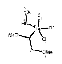 COC[CH](OC)[Ta]([Cl])([Cl])([Cl])[NH]C(C)(C)C